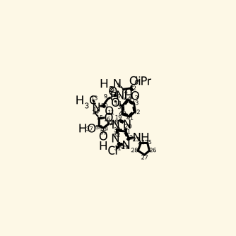 CC(C)OC(=O)[C@H](N)NP(=O)(CC(=O)N(C)C[C@H]1O[C@@H](n2cnc3c(NC4CCCC4)nc(Cl)nc32)[C@H](O)[C@@H]1O)Oc1ccccc1